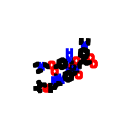 CCN(CC)CCOC(=O)c1ccc(NC(=O)OC(CNC(=O)c2ccc(-n3cc(CC(C)(C)OCC(C)C(C)C)nn3)cc2)c2cc(=O)oc3cc(N(CC)CC)ccc23)cc1